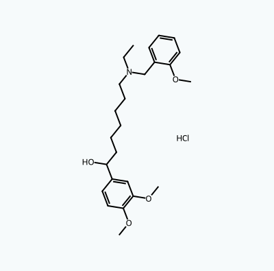 CCN(CCCCCCC(O)c1ccc(OC)c(OC)c1)Cc1ccccc1OC.Cl